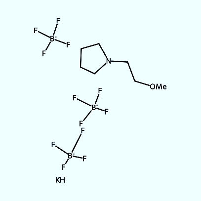 COCCN1CCCC1.F[B-](F)(F)F.F[B-](F)(F)F.F[B-](F)(F)F.[KH]